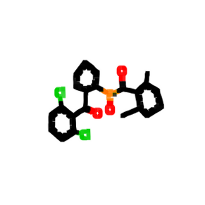 Cc1cccc(C)c1C(=O)[P](=O)c1ccccc1C(=O)c1c(Cl)cccc1Cl